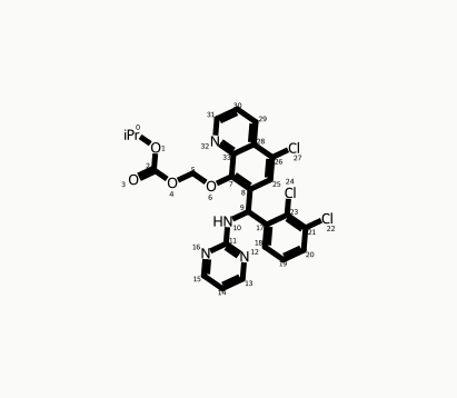 CC(C)OC(=O)OCOc1c(C(Nc2ncccn2)c2cccc(Cl)c2Cl)cc(Cl)c2cccnc12